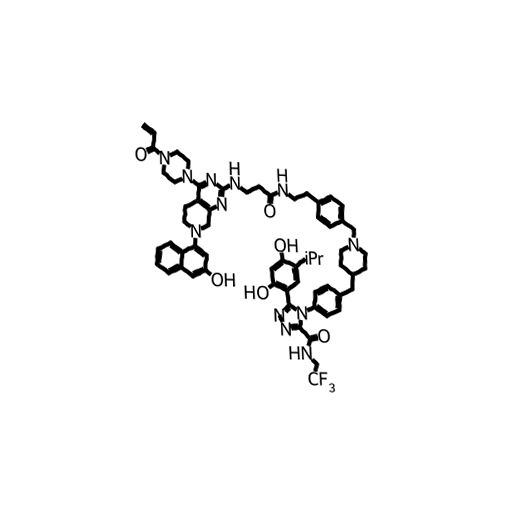 C=CC(=O)N1CCN(c2nc(NCCC(=O)NCCc3ccc(CN4CCC(Cc5ccc(-n6c(C(=O)NCC(F)(F)F)nnc6-c6cc(C(C)C)c(O)cc6O)cc5)CC4)cc3)nc3c2CCN(c2cc(O)cc4ccccc24)C3)CC1